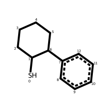 SC1CCCCC1c1ccccc1